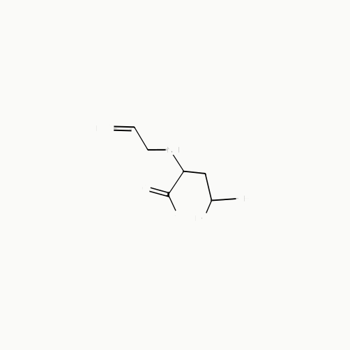 C=CCNC(CC(C)C)C(=O)O